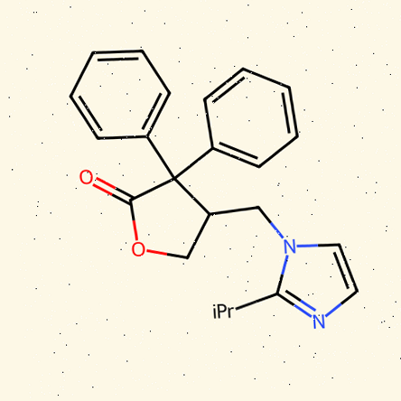 CC(C)c1nccn1CC1COC(=O)C1(c1ccccc1)c1ccccc1